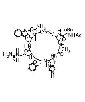 CCCC[C@H](NC(C)=O)C(=O)N[C@@H]1CSSC[C@@H](C(N)=O)NC(=O)[C@H](Cc2c[nH]c3ccccc23)NC(=O)[C@H](CCCNC(=N)N)NC(=O)[C@@H](Cc2ccccc2)NC(=O)[C@H](Cc2c[nH]cn2)NC(=O)[C@@H](C)NC1=O